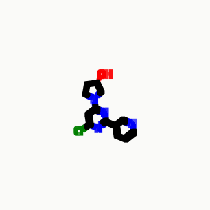 O[C@H]1CCN(c2cc(Cl)nc(-c3cccnc3)n2)C1